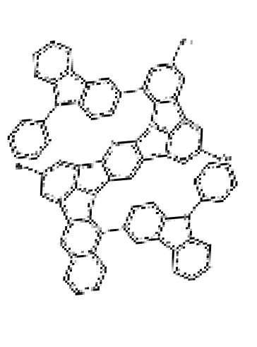 CC(C)(C)c1cc(-c2ccc3c(c2)c2ccccc2n3-c2ccccc2)c2c(c1)c1cc(C(C)(C)C)cc3c4cc5c(nc4n2c31)c1cc(C(C)(C)C)cc2c3cc4ccccc4c(-c4ccc6c(c4)c4ccccc4n6-c4ccccc4)c3n5c21